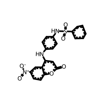 O=c1cc(Nc2ccc(NS(=O)(=O)c3ccccc3)cc2)c2cc([N+](=O)[O-])ccc2o1